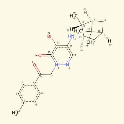 Cc1ccc(C(=O)Cn2ncc(N[C@@H]3C[C@@H]4C[C@H]([C@H]3C)C4(C)C)c(Br)c2=O)cc1